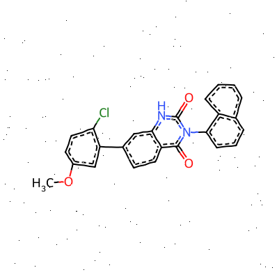 COc1ccc(Cl)c(-c2ccc3c(=O)n(-c4cccc5ccccc45)c(=O)[nH]c3c2)c1